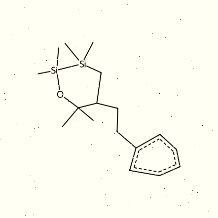 CC1(C)O[Si](C)(C)[Si](C)(C)CC1CCc1ccccc1